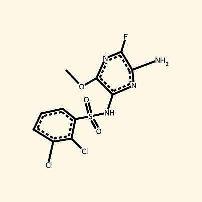 COc1nc(F)c(N)nc1NS(=O)(=O)c1cccc(Cl)c1Cl